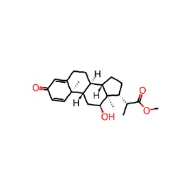 COC(=O)C(C)[C@H]1CC[C@H]2[C@@H]3CCC4=CC(=O)C=C[C@]4(C)[C@H]3C[C@H](O)[C@]12C